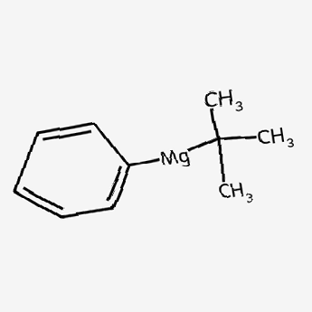 C[C](C)(C)[Mg][c]1ccccc1